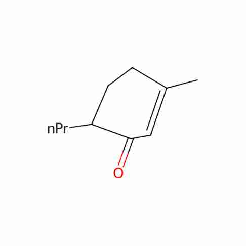 CCCC1CCC(C)=CC1=O